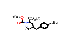 CCOC(=O)C(CC(Cc1ccc(C(C)(C)C)cc1)C(C)C)NC(=O)OC(C)(C)C